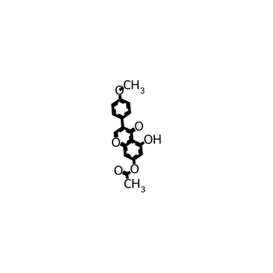 COc1ccc(-c2coc3cc(OC(C)=O)cc(O)c3c2=O)cc1